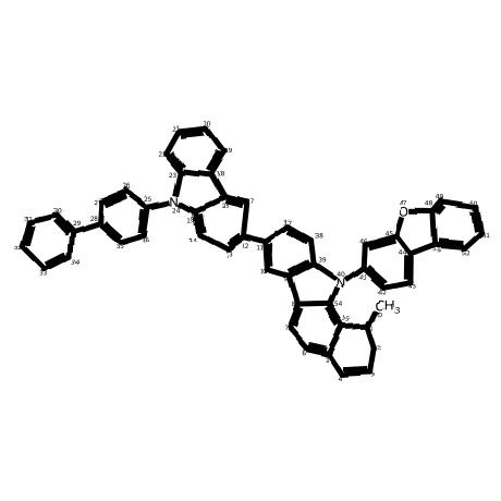 CC1CC=Cc2ccc3c4cc(-c5ccc6c(c5)c5ccccc5n6-c5ccc(-c6ccccc6)cc5)ccc4n(-c4ccc5c(c4)oc4ccccc45)c3c21